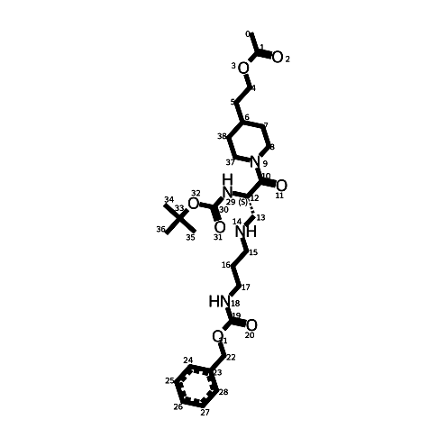 CC(=O)OCCC1CCN(C(=O)[C@H](CNCCCNC(=O)OCc2ccccc2)NC(=O)OC(C)(C)C)CC1